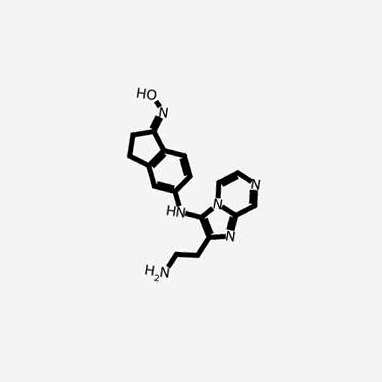 NCCc1nc2cnccn2c1Nc1ccc2c(c1)CCC2=NO